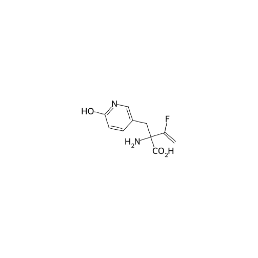 C=C(F)C(N)(Cc1ccc(O)nc1)C(=O)O